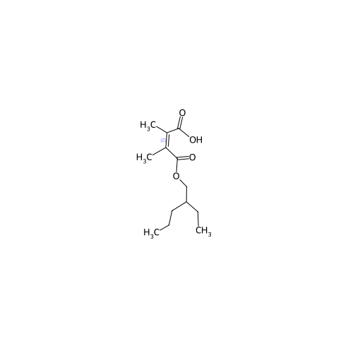 CCCC(CC)COC(=O)/C(C)=C(/C)C(=O)O